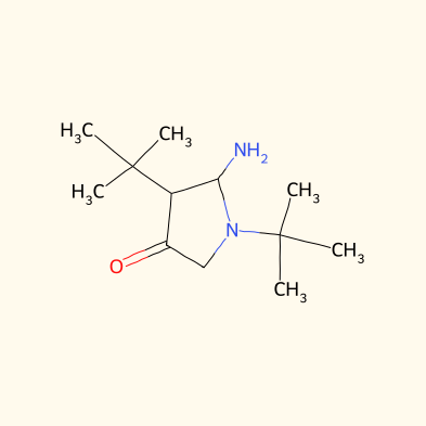 CC(C)(C)C1C(=O)CN(C(C)(C)C)C1N